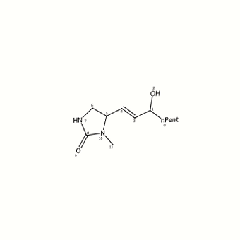 CCCCCC(O)/C=C/C1CNC(=O)N1C